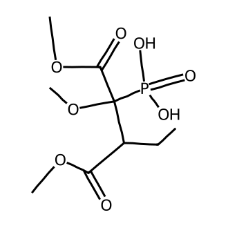 CCC(C(=O)OC)C(OC)(C(=O)OC)P(=O)(O)O